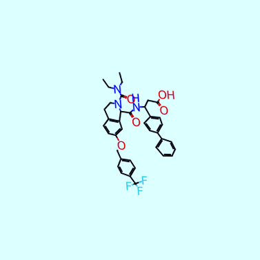 CCN(CC)C(=O)N1CCc2ccc(OCc3ccc(C(F)(F)F)cc3)cc2C1C(=O)NC(CC(=O)O)c1ccc(-c2ccccc2)cc1